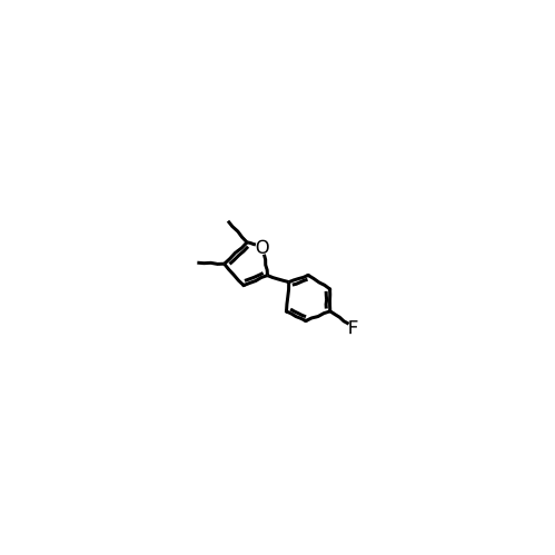 Cc1cc(-c2ccc(F)cc2)oc1C